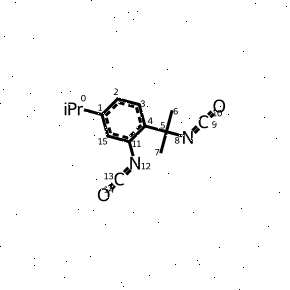 CC(C)c1ccc(C(C)(C)N=C=O)c(N=C=O)c1